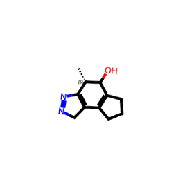 C[C@H]1C2=C(CN=N2)C2=C(CCC2)C1O